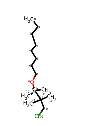 CCCCCCCCO[Si](C)(C)C(C)(C)CCl